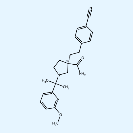 COc1cccc(C(C)(C)N2CC[C@@](CCc3ccc(C#N)cc3)(C(N)=O)C2)n1